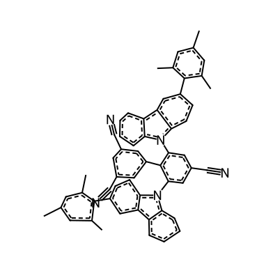 Cc1cc(C)c(-c2ccc3c(c2)c2ccccc2n3-c2cc(C#N)cc(-n3c4ccccc4c4cc(-c5c(C)cc(C)cc5C)ccc43)c2-c2cc(C#N)cc(C#N)c2)c(C)c1